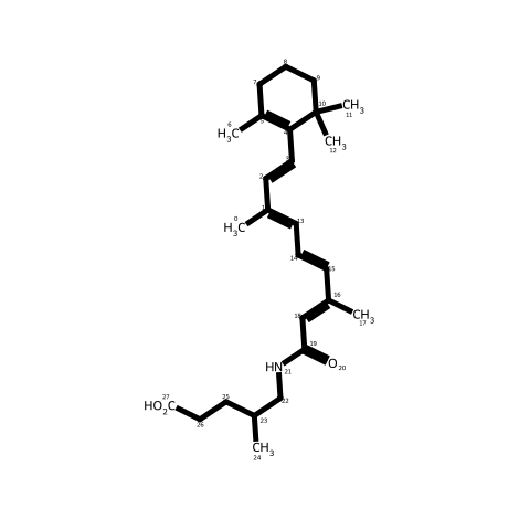 CC(C=CC1=C(C)CCCC1(C)C)=CC=CC(C)=CC(=O)NCC(C)CCC(=O)O